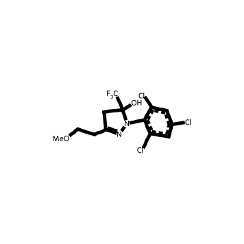 COCCC1=NN(c2c(Cl)cc(Cl)cc2Cl)C(O)(C(F)(F)F)C1